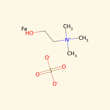 C[N+](C)(C)CCO.O=S(=O)([O-])[O-].[Fe]